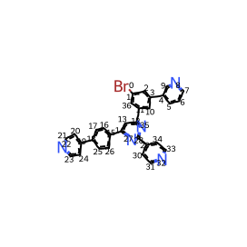 Brc1cc(-c2cccnc2)cc(-c2cc(-c3ccc(-c4ccncc4)cc3)nc(-c3ccncc3)n2)c1